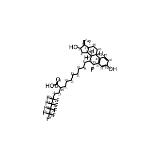 C=C1[C@H](O)C[C@H]2[C@@H]3C(CCCCCCCCC(CCC(F)(F)C(F)(F)C(F)(F)C(F)(F)F)C(=O)O)[C@@H](F)c4cc(O)ccc4[C@H]3CC[C@]12C